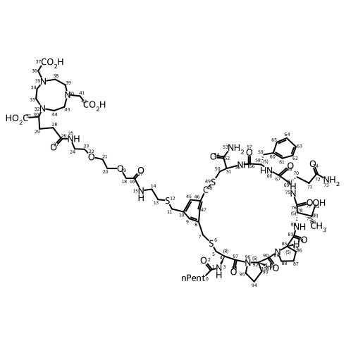 CCCCCC(=O)N[C@H]1CSCc2cc(CSCCNC(=O)COCCOCCNC(=O)CCC(C(=O)O)N3CCN(CC(=O)O)CCN(CC(=O)O)CC3)cc(c2)CSCC(C(N)=O)NC(=O)[C@H](Cc2ccccc2)NC(=O)[C@H](CCC(N)=O)NC(=O)[C@H]([C@@H](C)O)NC(=O)[C@@H]2CCCN2C(=O)[C@@H]2CCCN2C1=O